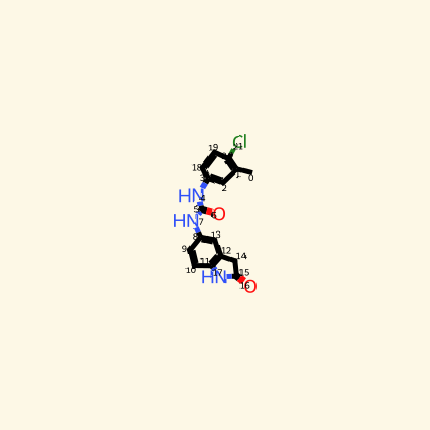 Cc1cc(NC(=O)Nc2ccc3c(c2)CC(=O)N3)ccc1Cl